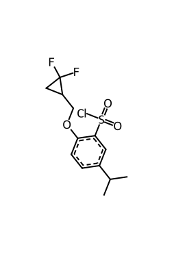 CC(C)c1ccc(OCC2CC2(F)F)c(S(=O)(=O)Cl)c1